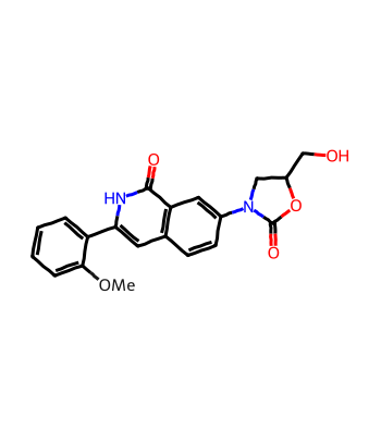 COc1ccccc1-c1cc2ccc(N3CC(CO)OC3=O)cc2c(=O)[nH]1